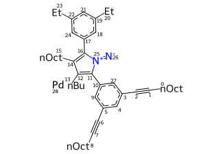 CCCCCCCCC#Cc1cc(C#CCCCCCCCC)cc(C2=C(CCCC)C(CCCCCCCC)=C(c3cc(CC)cc(CC)c3)[N+]2=[N-])c1.[Pd]